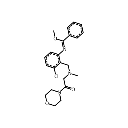 CO/C(=N\c1cccc(Cl)c1CN(C)CC(=O)N1CCOCC1)c1ccccc1